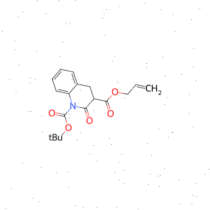 C=CCOC(=O)C1Cc2ccccc2N(C(=O)OC(C)(C)C)C1=O